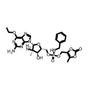 CCOc1nc(N)nc2c1ncn2[C@@H]1O[C@H](COP(=O)(NCc2ccccc2)OCc2oc(=O)oc2C)[C@@H](O)[C@@]1(C)N